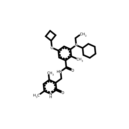 CCN(c1cc(OC2CCC2)cc(C(=O)NCc2c(C)cc(C)[nH]c2=O)c1C)C1CCCCC1